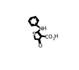 O=C(O)C1=C(Nc2ccccc2)SCC1=O